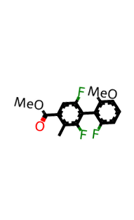 COC(=O)c1cc(F)c(-c2c(F)cccc2OC)c(F)c1C